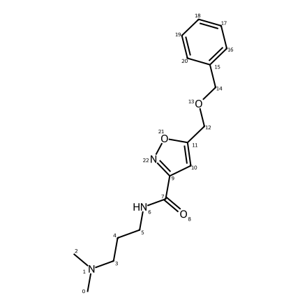 CN(C)CCCNC(=O)c1cc(COCc2ccccc2)on1